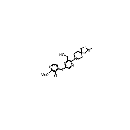 COc1nccc(Sc2cnc(N3CCC4(CC3)CO[C@@H](C)C4)c(CO)n2)c1Cl